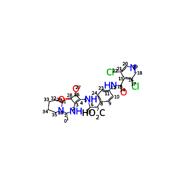 CC(Nc1c(N[C@@H](Cc2ccc(NC(=O)c3c(Cl)cncc3Cl)cc2)C(=O)O)c(=O)c1=O)N1CCCCC1